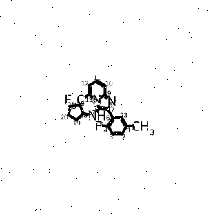 Cc1ccc(F)c(-c2nc3cccc(C(F)(F)F)n3c2NC2CCCC2)c1